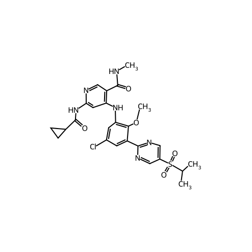 CNC(=O)c1cnc(NC(=O)C2CC2)cc1Nc1cc(Cl)cc(-c2ncc(S(=O)(=O)C(C)C)cn2)c1OC